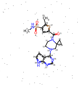 CNS(=O)(=O)c1cc(C(=O)N2CCN(c3ncnc4[nH]ccc34)CC23CC3)sc1C